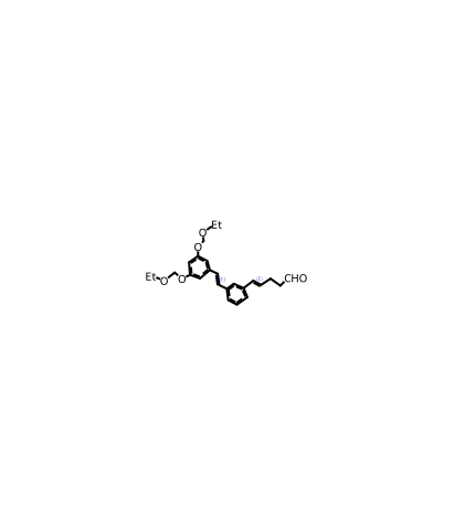 CCOCOc1cc(/C=C/c2cccc(/C=C/CCC=O)c2)cc(OCOCC)c1